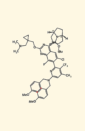 COc1ccc(CN(Cc2ccc(OC)cc2)c2cc(C)c(C(F)(F)F)c(-c3c(Cl)cc4c(N5CC[C@H]6CC[C@@H](C5)N6C(=O)OC(C)(C)C)nc(OCC5(CN(C)C)CC5)nc4c3F)n2)cc1